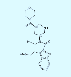 CSCCn1c(C(=O)N(CC(C)C)[C@@H]2CNC[C@H](C(=O)N3CCOCC3)C2)nc2ccccc21